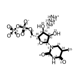 O=C1NC(=O)N([C@@H]2O[C@H](COP(=O)([O-])OP(=O)([O-])[O-])[C@@H](O)[C@H]2O)CC1I.[Na+].[Na+].[Na+]